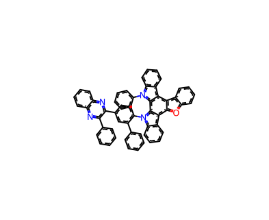 c1ccc(-c2cc(-c3nc4ccccc4nc3-c3ccccc3)ccc2-n2c3ccccc3c3c4oc5ccccc5c4c4c5ccccc5n(-c5ccccc5)c4c32)cc1